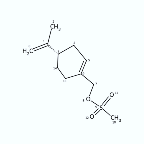 C=C(C)[C@@H]1CC=C(COS(C)(=O)=O)CC1